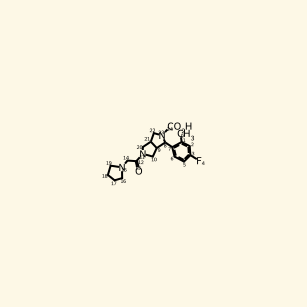 Cc1cc(F)ccc1C1C2CN(C(=O)CN3CCCC3)CC2CN1C(=O)O